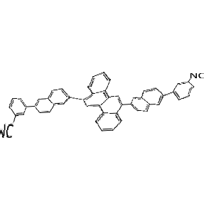 [C-]#[N+]c1cccc(-c2ccc3cc(-c4cc5c6ccccc6c(-c6ccc7cc(-c8cccc(C#N)c8)ccc7c6)cc5c5ccccc45)ccc3c2)c1